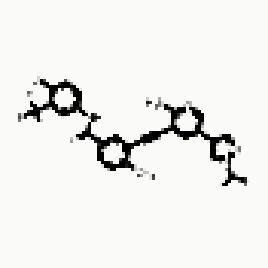 Cc1ccc(C(=O)Nc2ccc(Cl)c(C(F)(F)F)c2)cc1C#Cc1cc(-c2cnn(C(F)F)c2)cnc1N